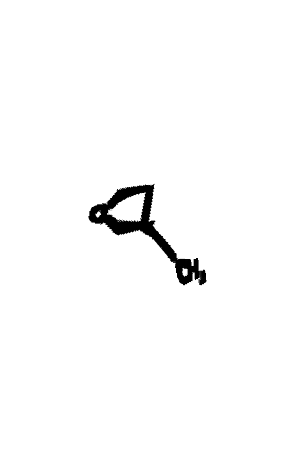 C[C]1CO1